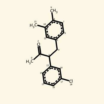 CC(=O)C(Cc1ccc(C)c(C)c1)c1cccc(Cl)c1